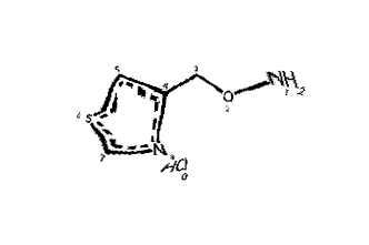 Cl.NOCc1cscn1